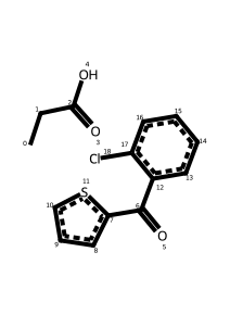 CCC(=O)O.O=C(c1cccs1)c1ccccc1Cl